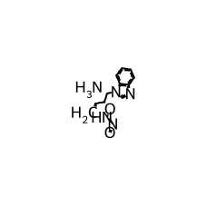 C=CC(Cn1cnc2ccccc21)ONN=O.N